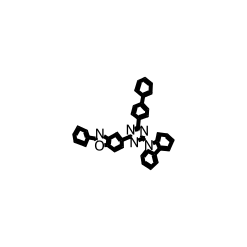 c1ccc(-c2ccc(-c3nc(-c4ccc5oc(-c6ccccc6)nc5c4)nc(-n4c5ccccc5c5ccccc54)n3)cc2)cc1